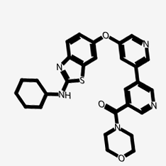 O=C(c1cncc(-c2cncc(Oc3ccc4nc(NC5CCCCC5)sc4c3)c2)c1)N1CCOCC1